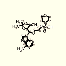 CC1OC(C)(C)OC1C(OCCOP(=O)(O)N1CCOCC1)n1cnc2c(N)ncnc21